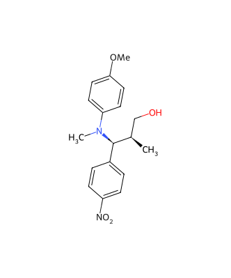 COc1ccc(N(C)[C@H](c2ccc([N+](=O)[O-])cc2)[C@H](C)CO)cc1